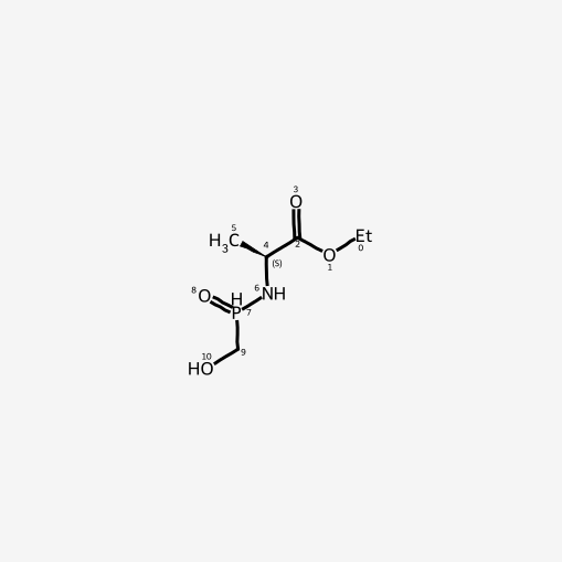 CCOC(=O)[C@H](C)N[PH](=O)CO